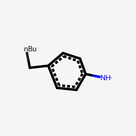 CCCCCc1ccc([NH])cc1